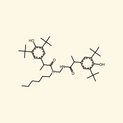 CCCCCCN(CNC(=O)C(C)c1cc(C(C)(C)C)c(O)c(C(C)(C)C)c1)C(=O)C(C)c1cc(C(C)(C)C)c(O)c(C(C)(C)C)c1